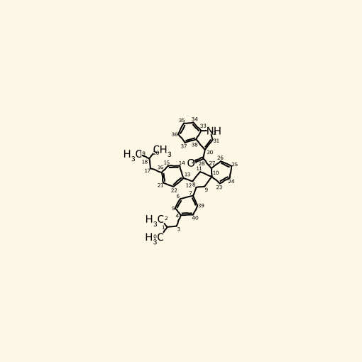 CC(C)Cc1ccc(CCC2(CCc3ccc(CC(C)C)cc3)C=CC=CC2C(=O)c2c[nH]c3ccccc23)cc1